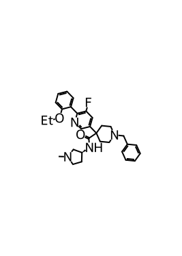 CCOc1ccccc1-c1ncc(C2(C(=O)N[C@H]3CCN(C)C3)CCN(Cc3ccccc3)CC2)cc1F